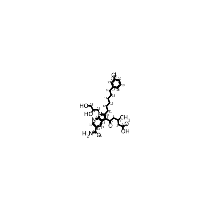 CC(CC(=O)O)CC(=O)c1c(CCCCCCc2cccc(Cl)c2)n(C[C@@H](O)CO)c2ncc(C(N)=O)cc12